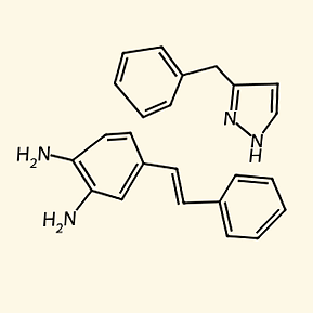 Nc1ccc(C=Cc2ccccc2)cc1N.c1ccc(Cc2cc[nH]n2)cc1